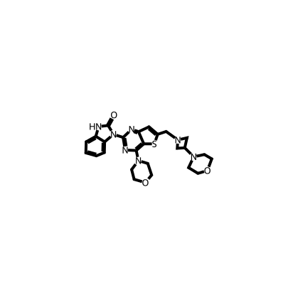 O=c1[nH]c2ccccc2n1-c1nc(N2CCOCC2)c2sc(CN3CC(N4CCOCC4)C3)cc2n1